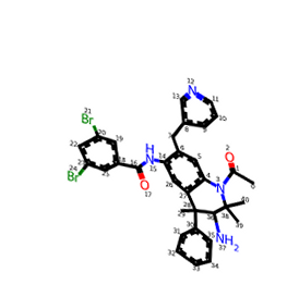 CC(=O)N1c2cc(Cc3cccnc3)c(NC(=O)c3cc(Br)cc(Br)c3)cc2C(C)(c2ccccc2)C(N)C1(C)C